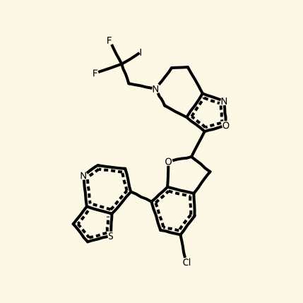 FC(F)(I)CN1CCc2noc(C3Cc4cc(Cl)cc(-c5ccnc6ccsc56)c4O3)c2C1